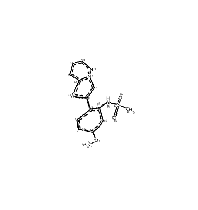 COc1ccc(-c2cn3ncccc3n2)c(NS(C)(=O)=O)c1